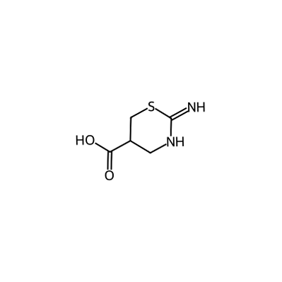 N=C1NCC(C(=O)O)CS1